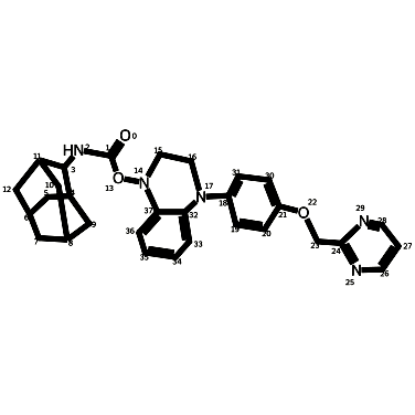 O=C(NC1C2CC3CC(C2)CC1C3)ON1CCN(c2ccc(OCc3ncccn3)cc2)c2ccccc21